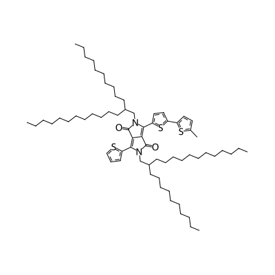 CCCCCCCCCCCCC(CCCCCCCCCC)CN1C(=O)C2=C(c3ccc(-c4ccc(C)s4)s3)N(CC(CCCCCCCCCC)CCCCCCCCCCCC)C(=O)C2=C1c1cccs1